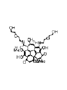 COc1c(O)c2c(=O)cc(OC)c3c4c(OC)cc(=O)c5c(O)c(NCCOCCO)c6c(c(c1C(/C(C)=N/CCOCCO)C(C)=C6)c23)c54